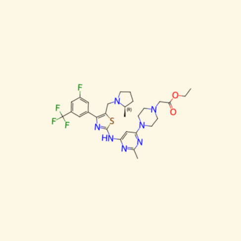 CCOC(=O)CN1CCN(c2cc(Nc3nc(-c4cc(F)cc(C(F)(F)F)c4)c(CN4CCC[C@H]4C)s3)nc(C)n2)CC1